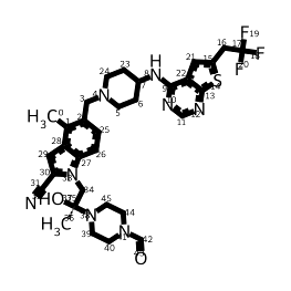 Cc1c(CN2CCC(Nc3ncnc4sc(CC(F)(F)F)cc34)CC2)ccc2c1cc(C#N)n2C[C@](C)(O)N1CCN(C=O)CC1